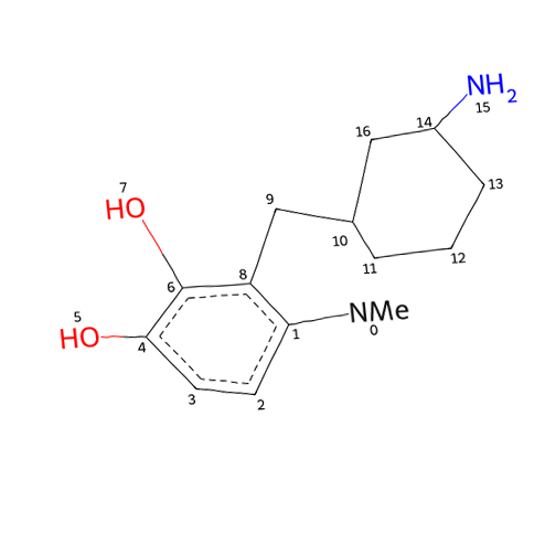 CNc1ccc(O)c(O)c1CC1CCCC(N)C1